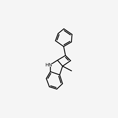 CC12C=C(c3ccccc3)C1Nc1ccccc12